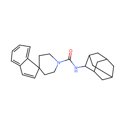 O=C(NC1C2CC3CC(C2)CC1C3)N1CCC2(C=Cc3ccccc32)CC1